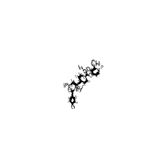 Cc1nccc(OC(=O)N2CCC(C(CC(C)C)NC(=O)c3ccc(Cl)cc3)CC2)c1C